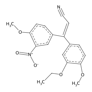 CCOc1cc(/C(=C/C#N)c2ccc(OC)c([N+](=O)[O-])c2)ccc1OC